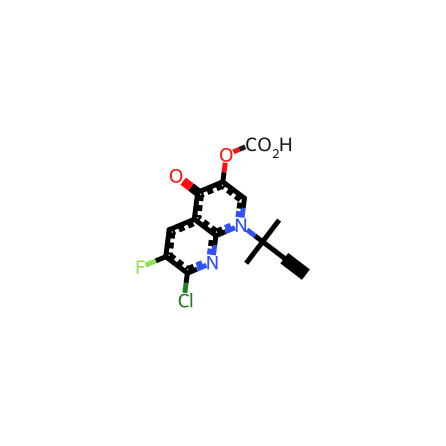 C#CC(C)(C)n1cc(OC(=O)O)c(=O)c2cc(F)c(Cl)nc21